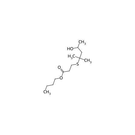 CCCCOC(=O)CCSC(C)(C)CC(C)O